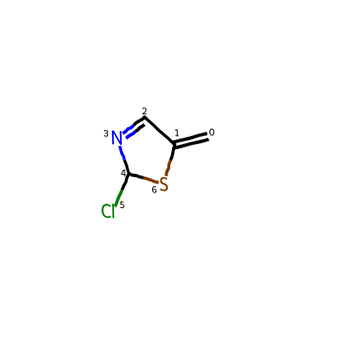 C=C1C=NC(Cl)S1